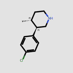 C[C@@H]1CCNC[C@H]1c1ccc(Cl)cc1